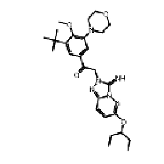 CCC(CC)Oc1ccc2nn(CC(=O)c3cc(N4CCOCC4)c(OC)c(C(C)(C)C)c3)c(=N)n2n1